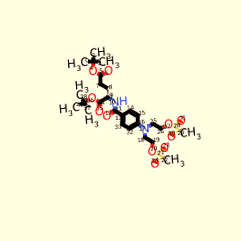 CC(C)(C)OC(=O)CC[C@H](NC(=O)c1ccc(N(CCOS(C)(=O)=O)CCOS(C)(=O)=O)cc1)C(=O)OC(C)(C)C